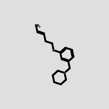 NC=CCCOc1cccc(CN2CCCCC2)c1